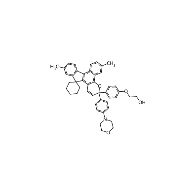 Cc1ccc2c(c1)C1(CCCCC1)c1c3c(c4cc(C)ccc4c1-2)OC(c1ccc(OCCO)cc1)(c1ccc(N2CCOCC2)cc1)C=C3